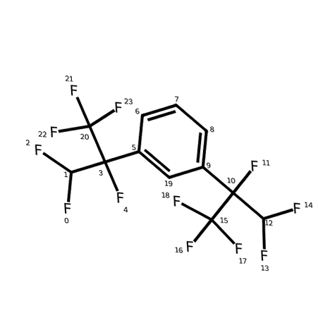 FC(F)C(F)(c1cccc(C(F)(C(F)F)C(F)(F)F)c1)C(F)(F)F